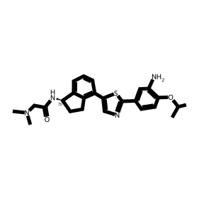 CC(C)Oc1ccc(-c2ncc(-c3cccc4c3CC[C@@H]4NC(=O)CN(C)C)s2)cc1N